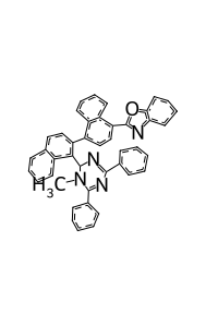 CN1C(c2ccccc2)=NC(c2ccccc2)=NC1c1c(-c2ccc(-c3nc4ccccc4o3)c3ccccc23)ccc2ccccc12